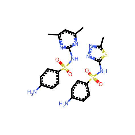 Cc1cc(C)nc(NS(=O)(=O)c2ccc(N)cc2)n1.Cc1nnc(NS(=O)(=O)c2ccc(N)cc2)s1